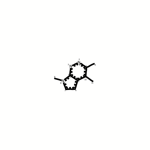 Cc1nnc2c(ccn2C)c1C